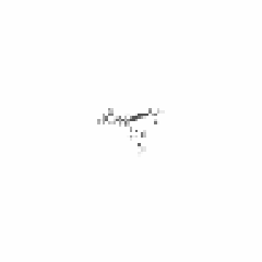 [Co].[Ni].[OH][Ni][OH]